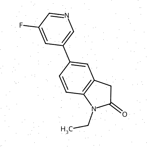 CCN1C(=O)Cc2cc(-c3cncc(F)c3)ccc21